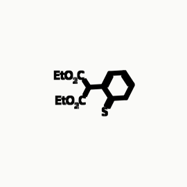 CCOC(=O)C(C(=O)OCC)C1=CC=CCC1=S